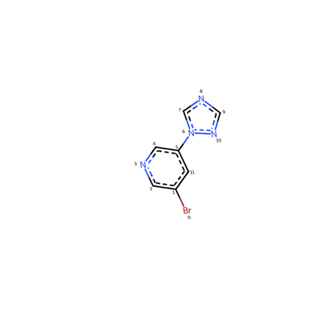 Brc1cncc(-n2cncn2)c1